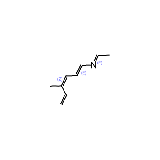 C=C\C(C)=C/C=C/N=C/C